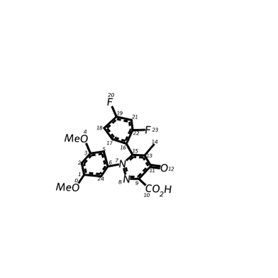 COc1cc(OC)cc(-n2nc(C(=O)O)c(=O)c(C)c2-c2ccc(F)cc2F)c1